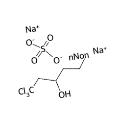 CCCCCCCCCCCC(O)CC(Cl)(Cl)Cl.O=S(=O)([O-])[O-].[Na+].[Na+]